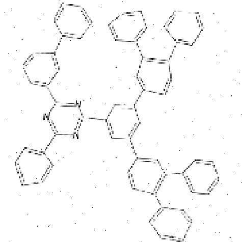 c1ccc(-c2cccc(-c3nc(-c4ccccc4)nc(-c4cc(-c5ccc(-c6ccccc6)c(-c6ccccc6)c5)cc(-c5ccc(-c6ccccc6)c(-c6ccccc6)c5)c4)n3)c2)cc1